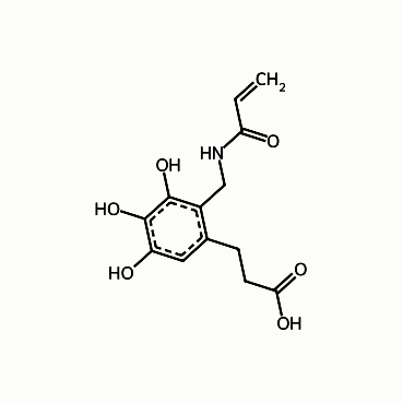 C=CC(=O)NCc1c(CCC(=O)O)cc(O)c(O)c1O